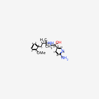 COc1ccccc1CCC(C)(C)NC[C@H](O)c1ccc(N)nc1